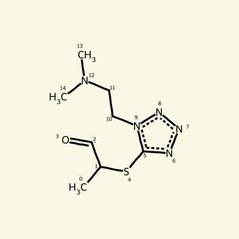 CC([C]=O)Sc1nnnn1CCN(C)C